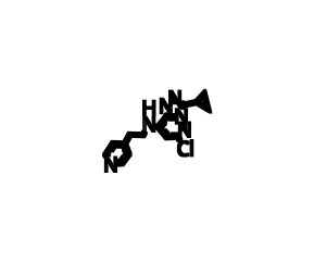 Clc1cc(NCCc2ccncc2)c2nnc(C3CC3)n2n1